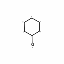 ClC1CC[C]CC1